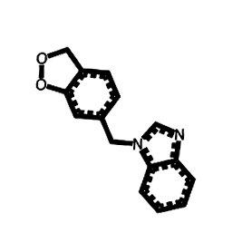 c1ccc2c(c1)ncn2Cc1ccc2c(c1)OOC2